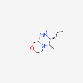 C=C(/C(=C/CC)NC)N1CCOC[C@@H]1C